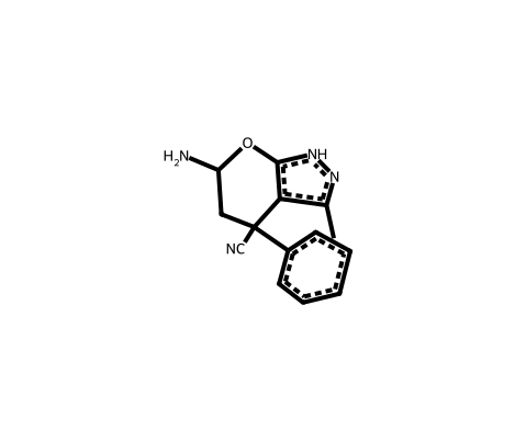 Cc1n[nH]c2c1C(C#N)(c1ccccc1)CC(N)O2